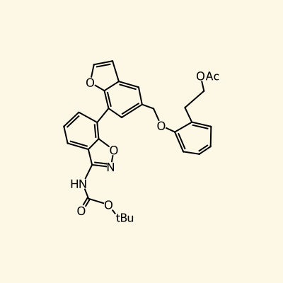 CC(=O)OCCc1ccccc1OCc1cc(-c2cccc3c(NC(=O)OC(C)(C)C)noc23)c2occc2c1